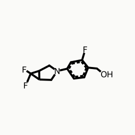 OCc1ccc(N2CC3C(C2)C3(F)F)cc1F